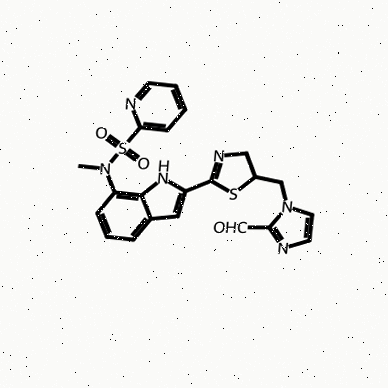 CN(c1cccc2cc(C3=NCC(Cn4ccnc4C=O)S3)[nH]c12)S(=O)(=O)c1ccccn1